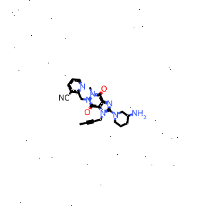 CC#CCn1c(N2CCCC(N)C2)nc2c(=O)n(C)n(Cc3ncccc3C#N)c(=O)c21